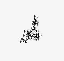 Nc1ncnc2c1ncn2[C@H]1C[C@@H](O)[C@@H](COP(=O)(S)OC2[C@H](n3c(=O)[nH]c4c(N)ncnc43)O[C@H](COP(=O)(O)S)[C@H]2O)O1